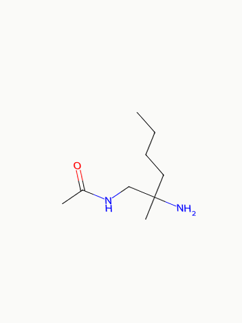 CCCCC(C)(N)CNC(C)=O